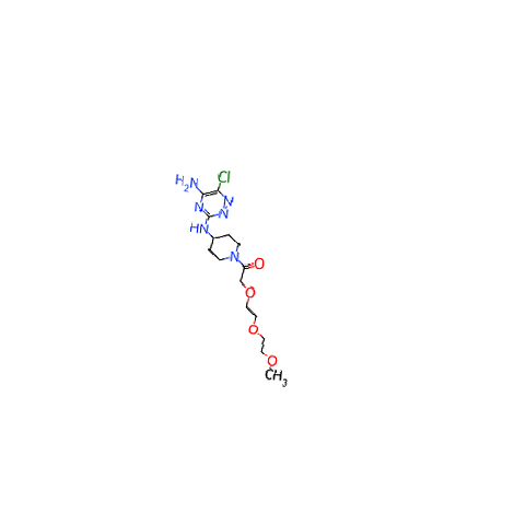 COCCOCCOCC(=O)N1CCC(Nc2nnc(Cl)c(N)n2)CC1